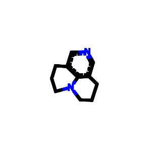 c1ncc2c3c1CCCN3CCC2